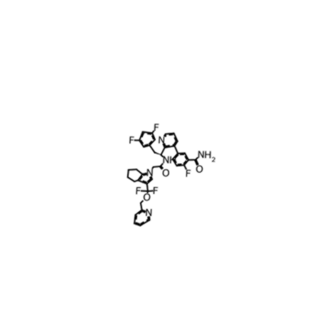 NC(=O)c1cc(-c2cccnc2[C@H](Cc2cc(F)cc(F)c2)NC(=O)Cn2cc(C(F)(F)OCc3ccccn3)c3c2CCCC3)ccc1F